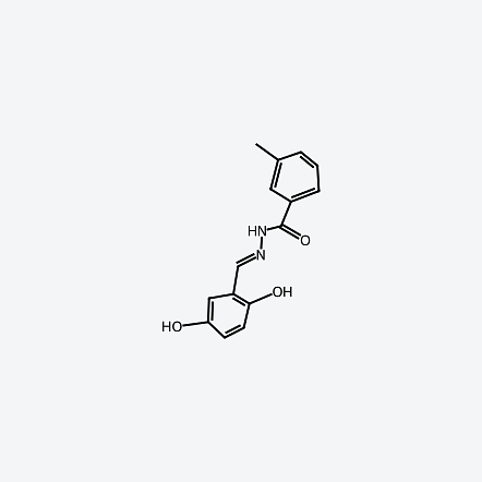 Cc1cccc(C(=O)NN=Cc2cc(O)ccc2O)c1